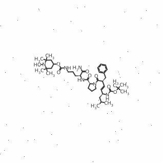 CC(C)C[C@@H](/C=C/[C@H](Cc1ccccc1)C(=O)N1CCC[C@H]1C(=O)N[C@@H](CCCNC(=O)OC1CC(C)(C)N(O)C(C)(C)C1)C(N)=O)NC(=O)OC(C)(C)C